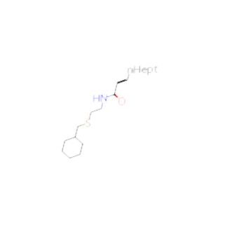 CCCCCCCC=CC(=O)NCCSCC1CCCCC1